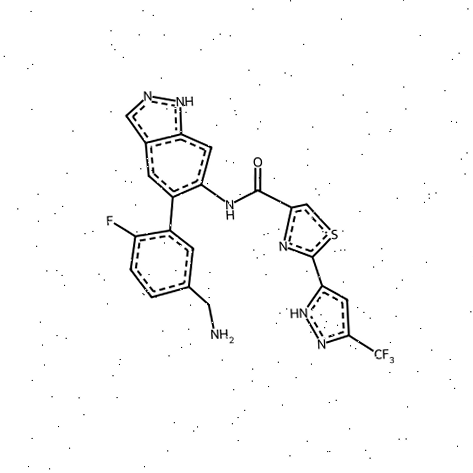 NCc1ccc(F)c(-c2cc3cn[nH]c3cc2NC(=O)c2csc(-c3cc(C(F)(F)F)n[nH]3)n2)c1